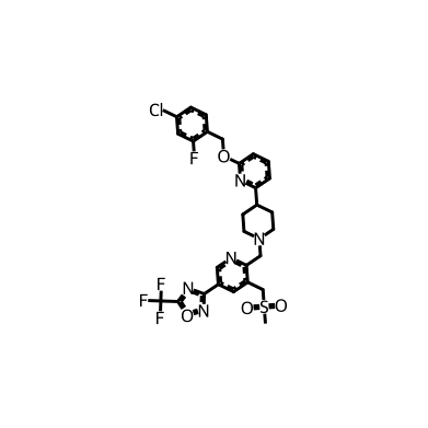 CS(=O)(=O)Cc1cc(-c2noc(C(F)(F)F)n2)cnc1CN1CCC(c2cccc(OCc3ccc(Cl)cc3F)n2)CC1